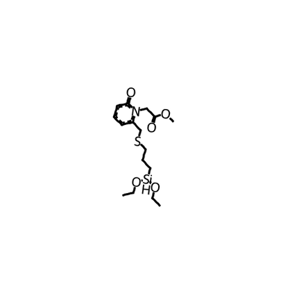 CCO[SiH](CCCSCc1cccc(=O)n1CC(=O)OC)OCC